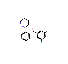 Clc1cc(Cl)cc(CO[C@H]2CCCN[C@H]2c2ccccc2)c1